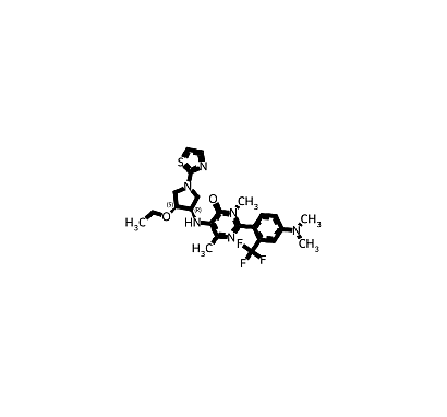 CCO[C@H]1CN(c2nccs2)C[C@H]1Nc1c(C)nc(-c2ccc(N(C)C)cc2C(F)(F)F)n(C)c1=O